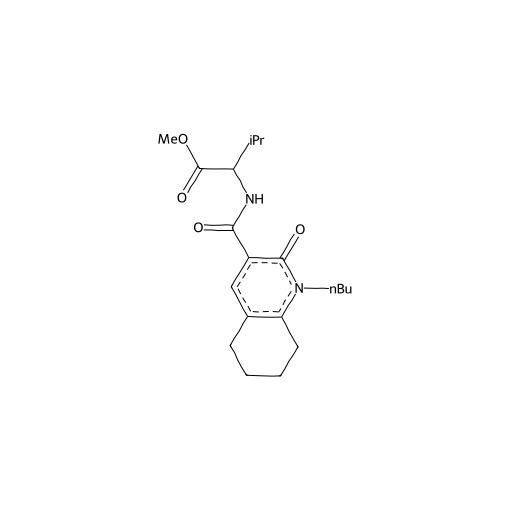 CCCCn1c2c(cc(C(=O)NC(C(=O)OC)C(C)C)c1=O)CCCC2